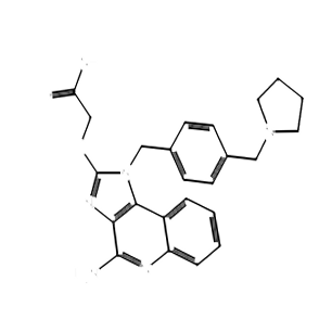 NC(=O)CSc1nc2c(N)nc3ccccc3c2n1Cc1ccc(CN2CCCC2)cc1